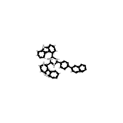 c1ccc2cc(-c3ccc(C4=NC(c5cccc6oc7ccccc7c56)NC(c5nccc6oc7ccccc7c56)=N4)cc3)ccc2c1